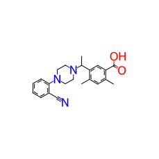 Cc1cc(C)c(C(C)N2CCN(c3ccccc3C#N)CC2)cc1C(=O)O